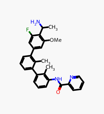 COc1cc(-c2cccc(-c3cccc(NC(=O)c4ccccn4)c3C)c2C)cc(F)c1C(C)N